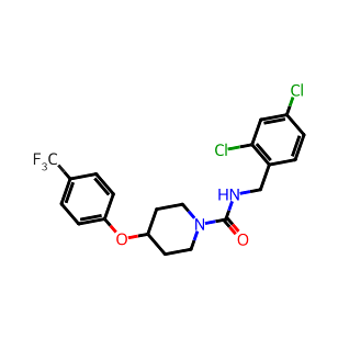 O=C(NCc1ccc(Cl)cc1Cl)N1CCC(Oc2ccc(C(F)(F)F)cc2)CC1